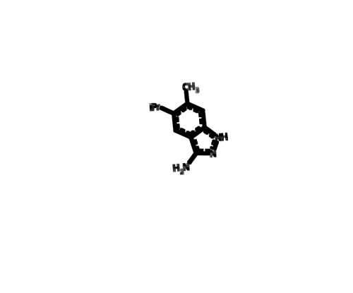 Cc1cc2[nH]nc(N)c2cc1C(C)C